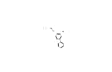 COc1cc2c(cc1SCC(=O)O)oc1ccccc12